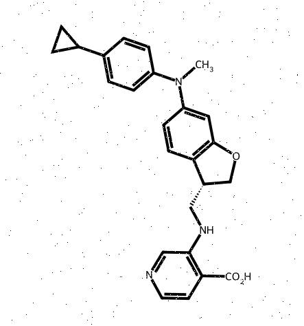 CN(c1ccc(C2CC2)cc1)c1ccc2c(c1)OC[C@@H]2CNc1cnccc1C(=O)O